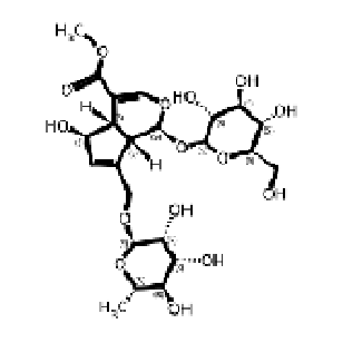 COC(=O)C1=CO[C@@H](O[C@@H]2O[C@H](CO)[C@@H](O)[C@H](O)[C@H]2O)[C@@H]2C(CO[C@@H]3O[C@@H](C)[C@H](O)[C@@H](O)[C@H]3O)=C[C@@H](O)[C@H]12